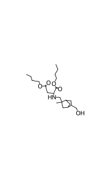 CCCCOC(=O)CC(NCC1(C)CC2CC1CC2CO)C(=O)OCCCC